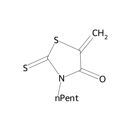 C=C1SC(=S)N(CCCCC)C1=O